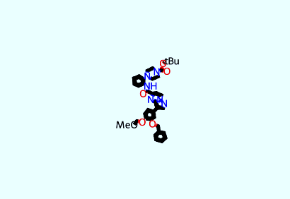 COCOc1ccc(-c2cnn3ccc(C(=O)Nc4ccccc4N4CCN(C(=O)OC(C)(C)C)CC4)nc23)cc1OCc1ccccc1